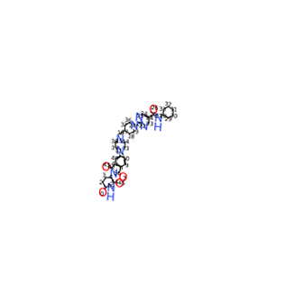 O=C1CCC(N2C(=O)c3ccc(N4CCN(CC5CCN(c6ncc(C(=O)NC7CCCCC7)cn6)CC5)CC4)cc3C2=O)C(=O)N1